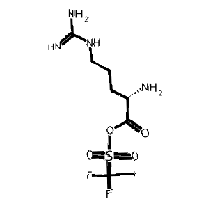 N=C(N)NCCC[C@H](N)C(=O)OS(=O)(=O)C(F)(F)F